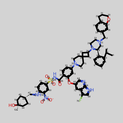 CC(C)c1ccccc1[C@@H]1CN(Cc2ccc3c(c2)OCCC3)CCN1C1CC2(CCN(c3ccc(C(=O)NS(=O)(=O)c4ccc(NC[C@H]5CC[C@](C)(O)CC5)c([N+](=O)[O-])c4)c(Oc4cnc5[nH]cc(F)c5c4)c3)CC2)C1